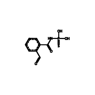 O=Cc1ccccc1C(=O)NP(O)(O)=S